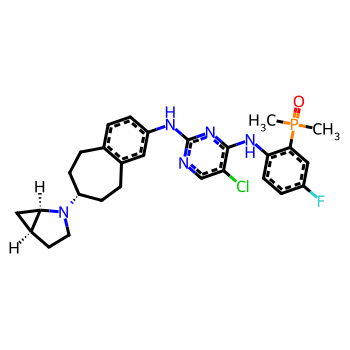 CP(C)(=O)c1cc(F)ccc1Nc1nc(Nc2ccc3c(c2)CC[C@H](N2CC[C@H]4C[C@H]42)CC3)ncc1Cl